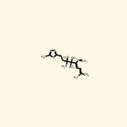 BC(B)(CCc1nnc(N)s1)C(B)(B)/C(=C/C=C(C)C)N=C